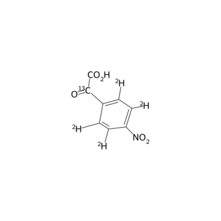 [2H]c1c([2H])c([N+](=O)[O-])c([2H])c([2H])c1[13C](=O)C(=O)O